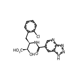 O=C(N[C@H](Cc1ccccc1Cl)[C@@H](O)C(=O)O)c1cnc2nn[nH]c2c1